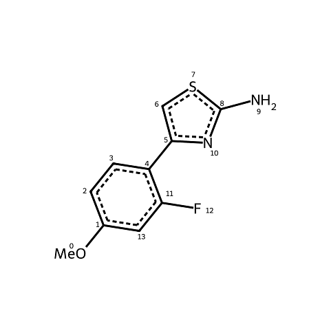 COc1ccc(-c2csc(N)n2)c(F)c1